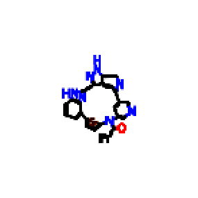 CC(C)C(=O)n1c2cncc(c2)c2cc3c(cn2)[nH]nc3c2nc3c(cccc3c3ccc1s3)[nH]2